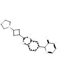 C[C@H]1CCCN1C1CC(c2nc3ccc(C4N=CC=CC4=O)cc3s2)C1